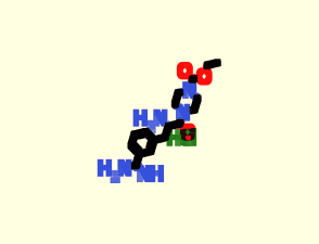 CCOC(=O)N1CCN(C(=O)[C@@H](N)Cc2cccc(C(=N)N)c2)CC1.Cl